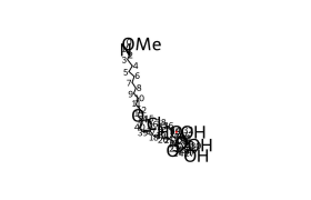 CON=CCCCCCCCCCCOc1ccc(Cc2cc([C@]34OC[C@](CO)(O3)[C@@H](O)[C@H](O)[C@H]4O)ccc2Cl)cc1